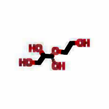 OCCO[C@H](O)C(O)CO